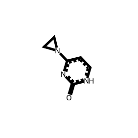 O=c1nc(N2CC2)cc[nH]1